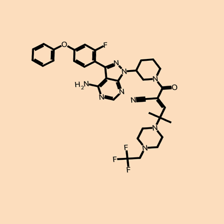 CC(C)(C=C(C#N)C(=O)N1CCCC(n2nc(-c3ccc(Oc4ccccc4)cc3F)c3c(N)ncnc32)C1)N1CCN(CC(F)(F)F)CC1